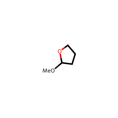 [CH]OC1CCCO1